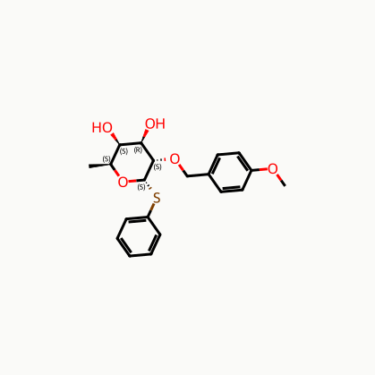 COc1ccc(CO[C@H]2[C@H](O)[C@H](O)[C@H](C)O[C@H]2Sc2ccccc2)cc1